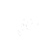 CN(N)c1cnn(-c2cc(C(F)(F)F)ccc2F)c(=O)c1Cl